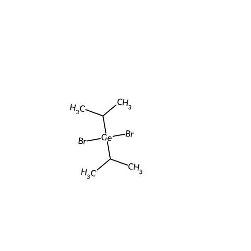 C[CH](C)[Ge]([Br])([Br])[CH](C)C